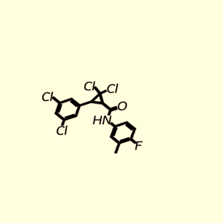 Cc1cc(NC(=O)C2C(c3cc(Cl)cc(Cl)c3)C2(Cl)Cl)ccc1F